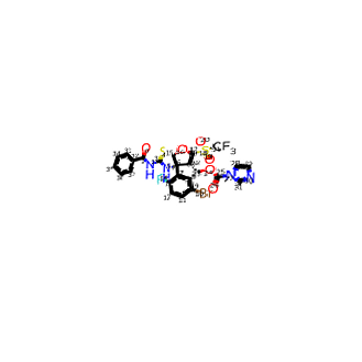 O=C(NC(=S)N[C@]1(c2cc(Br)ccc2F)CO[C@H](S(=O)(=O)C(F)(F)F)[C@@H]1COC(=O)n1ccnc1)c1ccccc1